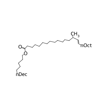 CCCCCCCCC=CC(C)CCCCCCCCCCCCC(=O)OCCCCCCCCCCCCCCC